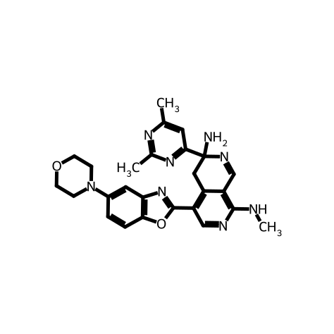 CNc1ncc(-c2nc3cc(N4CCOCC4)ccc3o2)c2c1C=NC(N)(c1cc(C)nc(C)n1)C2